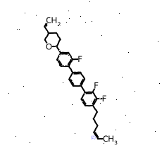 C=CC1CCC(c2ccc(-c3ccc(-c4ccc(CCC/C=C\C)c(F)c4F)cc3)c(F)c2)OC1